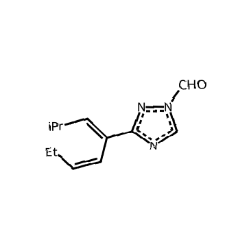 CC/C=C\C(=C/C(C)C)c1ncn(C=O)n1